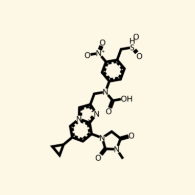 CN1C(=O)CN(c2cc(C3CC3)cn3cc(CN(C(=O)O)c4ccc(C[SH](=O)=O)c([N+](=O)[O-])c4)nc23)C1=O